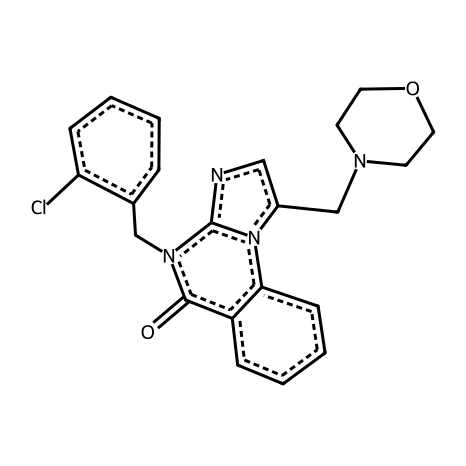 O=c1c2ccccc2n2c(CN3CCOCC3)cnc2n1Cc1ccccc1Cl